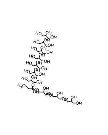 CCCC(=O)O.OCC(O)CO.OCC(O)CO.OCC(O)CO.OCC(O)CO.OCC(O)CO.OCC(O)CO.OCC(O)CO.OCC(O)CO.OCC(O)CO.OCC(O)CO